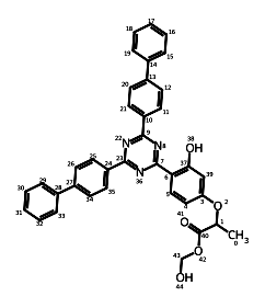 CC(Oc1ccc(-c2nc(-c3ccc(-c4ccccc4)cc3)nc(-c3ccc(-c4ccccc4)cc3)n2)c(O)c1)C(=O)OCO